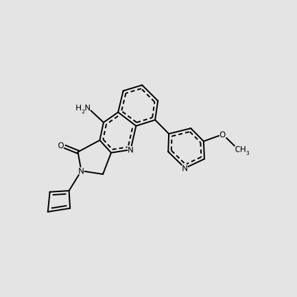 COc1cncc(-c2cccc3c(N)c4c(nc23)CN(C2=CC=C2)C4=O)c1